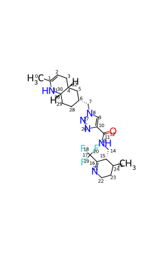 CC1=CC[C@@H]2C[C@H](Cn3cc(C(=O)NC[C@H]4C(C(F)(F)F)=NCCC4C)nn3)CC[C@@H]2N1